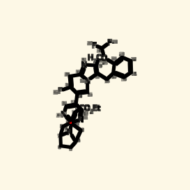 CCOC(=O)C=C1CC2CCC(C1)N2c1ncc(-c2cn3c(Cc4ccccc4OC(F)F)c(C)nc3cc2F)cn1